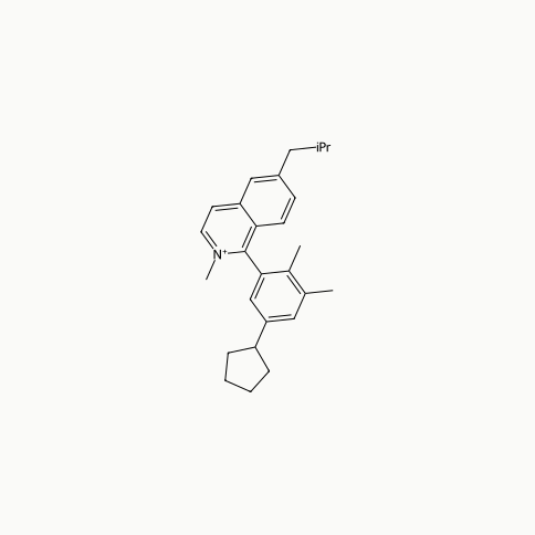 Cc1cc(C2CCCC2)cc(-c2c3ccc(CC(C)C)cc3cc[n+]2C)c1C